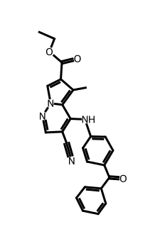 CCOC(=O)c1cn2ncc(C#N)c(Nc3ccc(C(=O)c4ccccc4)cc3)c2c1C